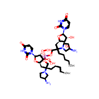 CCCCCCCCCCCCCCC(CO[PH](=O)OCC(CCCCCCCCCCCCCC)(C[C@H]1O[C@@H](n2ccc(=O)[nH]c2=O)[C@H](OO)[C@H]1OO)N1CCC(N)C1)(C[C@H]1O[C@@H](n2ccc(=O)[nH]c2=O)[C@H](O)[C@@H]1O)N1CCC(N)C1